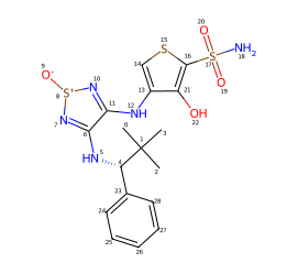 CC(C)(C)[C@@H](Nc1n[s+]([O-])nc1Nc1csc(S(N)(=O)=O)c1O)c1ccccc1